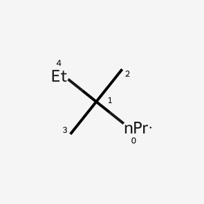 CC[CH]C(C)(C)CC